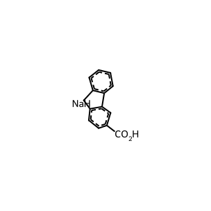 O=C(O)c1ccc2c(c1)-c1ccccc1C2.[NaH]